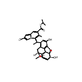 Cc1c(C(=O)OC(C)C)cc2cc(Cl)cn2c1C(C)c1cc(O)c2c3c1C[C@@H]1[C@@H]4C=C[C@H](O)[C@H](O2)[C@]34CCN1C